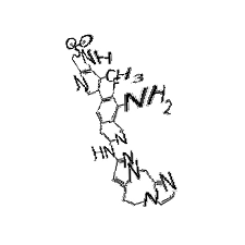 Cc1c(-c2cc3cc(Nc4cc5n(n4)Cc4nccn4CC5)ncc3c(N)c2F)cnc2c1NS(=O)(=O)C2